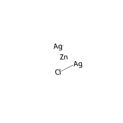 [Ag].[Cl][Ag].[Zn]